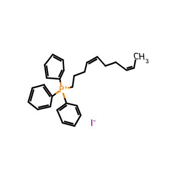 C/C=C\CC/C=C\CCC[P+](c1ccccc1)(c1ccccc1)c1ccccc1.[I-]